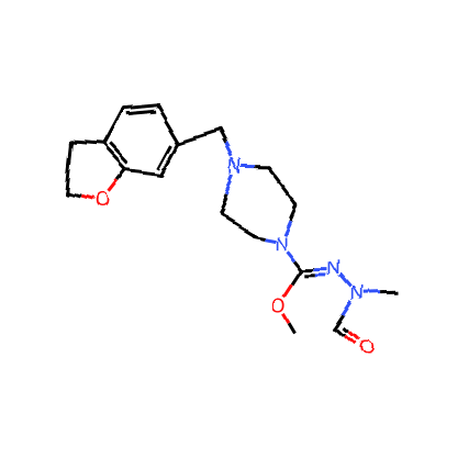 CO/C(=N\N(C)C=O)N1CCN(Cc2ccc3c(c2)OCC3)CC1